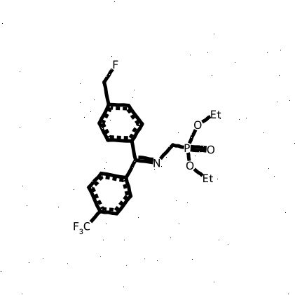 CCOP(=O)(C/N=C(\c1ccc(CF)cc1)c1ccc(C(F)(F)F)cc1)OCC